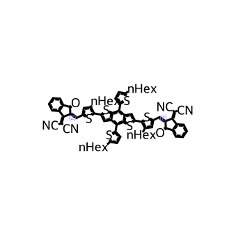 CCCCCCc1ccc(-c2c3cc(-c4sc(/C=C5\C(=O)c6ccccc6C5=C(C#N)C#N)cc4CCCCCC)sc3c(-c3ccc(CCCCCC)s3)c3cc(-c4sc(/C=C5\C(=O)c6ccccc6C5=C(C#N)C#N)cc4CCCCCC)sc23)s1